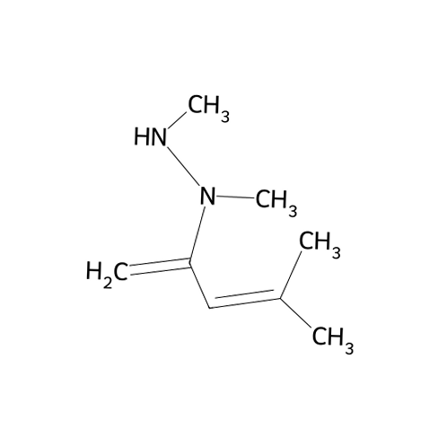 C=C(C=C(C)C)N(C)NC